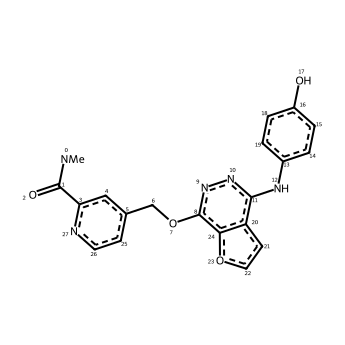 CNC(=O)c1cc(COc2nnc(Nc3ccc(O)cc3)c3ccoc23)ccn1